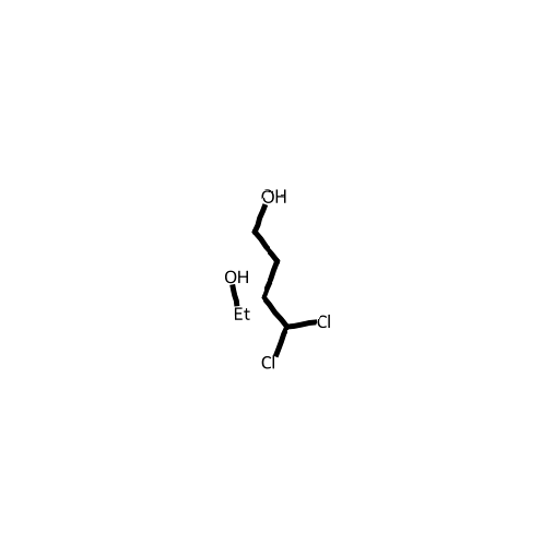 CCO.OCCCC(Cl)Cl